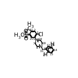 Cc1cc(Cl)c(N2CCN(C[C@H]3C[C@H]4C=C[C@@H]3C4)CC2)cc1S(C)(=O)=O